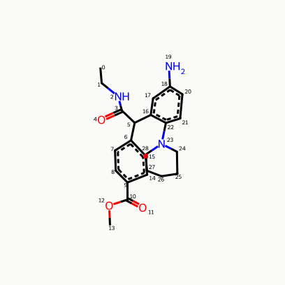 CCNC(=O)C(c1ccc(C(=O)OC)cc1)c1cc(N)ccc1N1CCCCC1